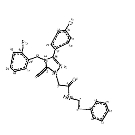 C=C1N(CC(=O)NCCc2ccccc2)N=C(c2ccc(Cl)cc2)N1Cc1ccccc1F